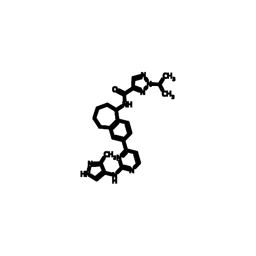 Cc1n[nH]cc1Nc1nccc(-c2ccc3c(c2)CCCCC3NC(=O)c2cnn(C(C)C)n2)n1